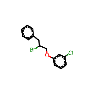 Clc1cccc(OCC(Br)Cc2ccccc2)c1